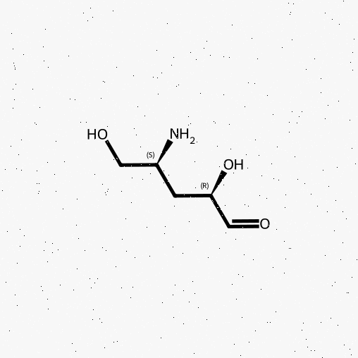 N[C@H](CO)C[C@@H](O)C=O